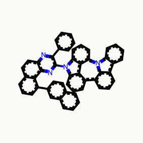 c1ccc(-c2nc3ccc4cccc(-c5ccc6ccccc6c5)c4c3nc2-n2c3cccc4c5cccc6c7ccccc7n(c7cccc2c7c43)c56)cc1